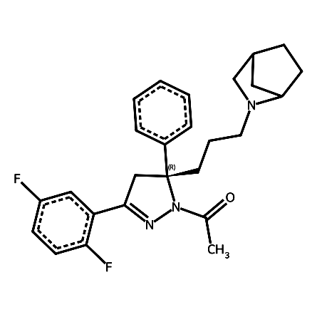 CC(=O)N1N=C(c2cc(F)ccc2F)C[C@]1(CCCN1CC2CCC1C2)c1ccccc1